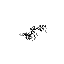 C=CC(=C=C/C=C(\C)S(=O)(=O)CC(N)C(C)(C)[C@@](C)(CCCC)NC)S(C)(=O)=O